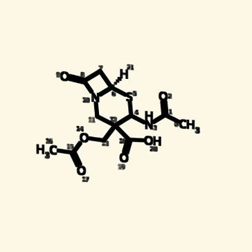 CC(=O)NC1S[C@@H]2CC(=O)N2CC1(COC(C)=O)C(=O)O